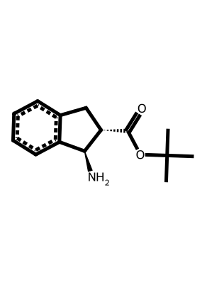 CC(C)(C)OC(=O)[C@H]1Cc2ccccc2[C@@H]1N